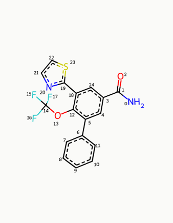 NC(=O)c1cc(-c2ccccc2)c(OC(F)(F)F)c(-c2nccs2)c1